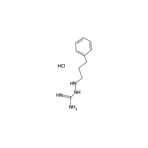 Cl.N=C(N)NNCCCc1ccccc1